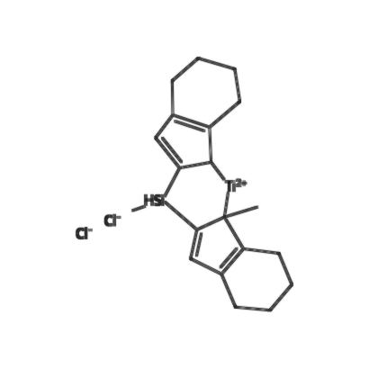 C[SiH]1C2=CC3=C(CCCC3)[CH]2[Ti+2][C]2(C)C1=CC1=C2CCCC1.[Cl-].[Cl-]